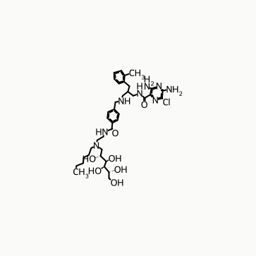 CCCCCCN(CCNC(=O)c1ccc(CNCC(CNC(=O)c2nc(Cl)c(N)nc2N)Cc2ccccc2C)cc1)C[C@@H](O)[C@@H](O)[C@H](O)[C@H](O)CO